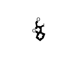 O=Cc1oc2ccccc2c1I